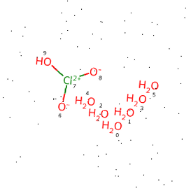 O.O.O.O.O.O.[O-][Cl+2]([O-])O